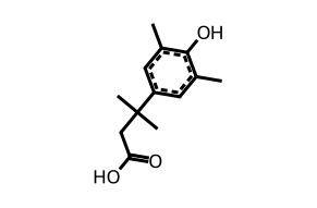 Cc1cc(C(C)(C)CC(=O)O)cc(C)c1O